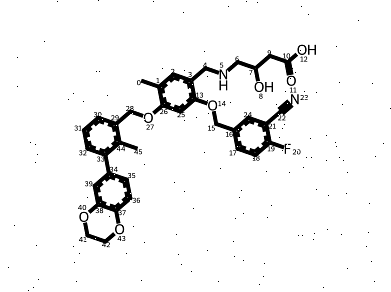 Cc1cc(CNCC(O)CC(=O)O)c(OCc2ccc(F)c(C#N)c2)cc1OCc1cccc(-c2ccc3c(c2)OCCO3)c1C